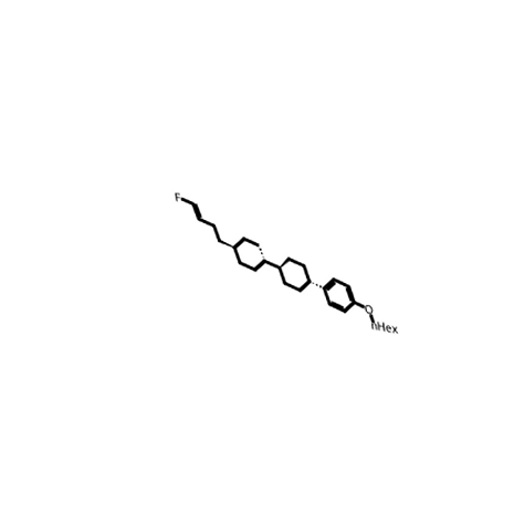 CCCCCCOc1ccc([C@H]2CC[C@H]([C@H]3CC[C@H](CCC=CF)CC3)CC2)cc1